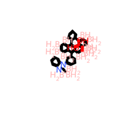 Bc1c(B)c(B)c(-c2ccccc2-c2c3c(B)c(B)c(B)c(B)c3c(-c3cccc(-n4c(C(B)(B)B)nc5ccccc54)c3)c3c(B)c(B)c(B)c(O)c23)c(O)c1B